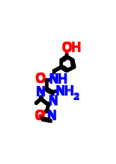 Cc1nc(C(=O)NCc2cccc(O)c2)c(N)nc1-c1ncco1